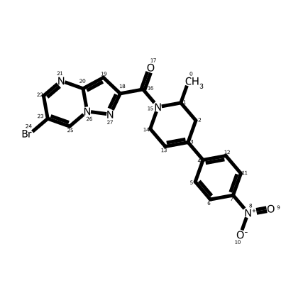 CC1CC(c2ccc([N+](=O)[O-])cc2)=CCN1C(=O)c1cc2ncc(Br)cn2n1